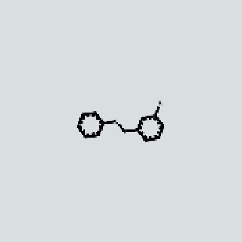 Brc1cccc(COc2[c]cccc2)c1